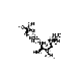 CN(CC(=O)O)C(=N)N.O.O.O.O.O.O.O=P(O)(O)O